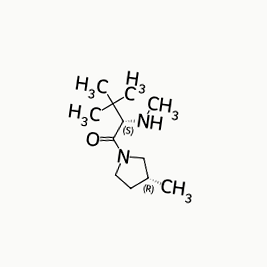 CN[C@H](C(=O)N1CC[C@@H](C)C1)C(C)(C)C